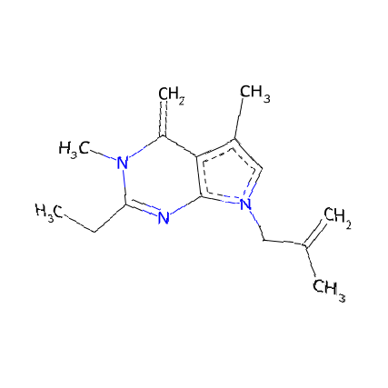 C=C(C)Cn1cc(C)c2c1N=C(CC)N(C)C2=C